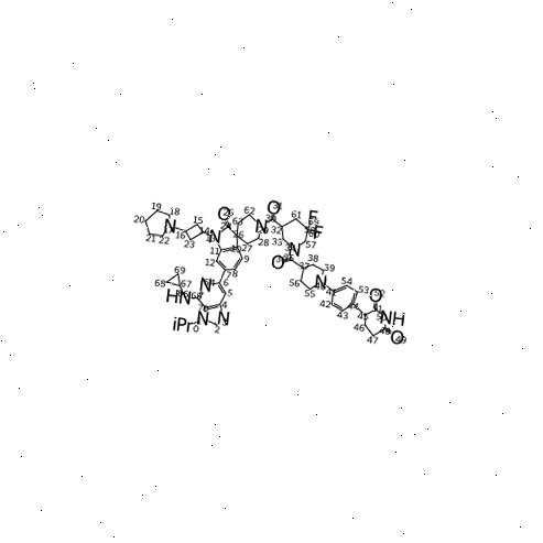 CC(C)n1cnc2cc(-c3ccc4c(c3)N(C3CC(N5CCCCC5)C3)C(=O)C43CCN(C(=O)C4CN(C(=O)C5CCN(c6ccc(C7CCC(=O)NC7=O)cc6)CC5)CC(F)(F)C4)CC3)nc(NC3CC3)c21